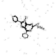 CCn1c(-c2ccncc2)nc2c(N3CCOCC3)nc(NNC)nc21